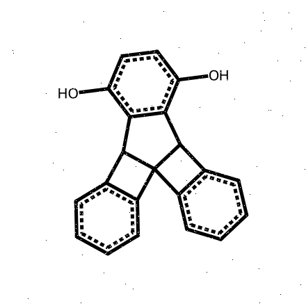 Oc1ccc(O)c2c1C1c3ccccc3C13c1ccccc1C23